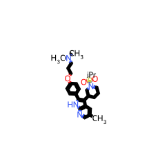 Cc1cnc2[nH]c(-c3ccc(OCCCN(C)C)cc3)c(C3CCCN(S(=O)(=O)C(C)C)C3)c2c1